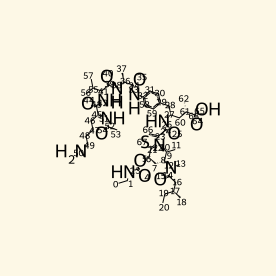 CCNC(=O)O[C@H](C[C@H](C(C)C)N(C)C(=O)C[C@@H](C)CC)c1nc(C(=O)N[C@@H](Cc2ccc(NC(=O)[C@H](C)NC(=O)[C@@H](NC(=O)[C@H](CCCCN)NC(C)=O)C(C)C)cc2)C[C@H](C)C(=O)O)cs1